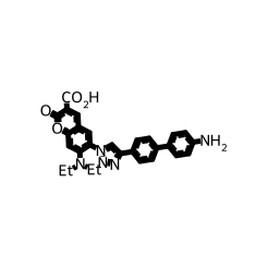 CCN(CC)c1cc2oc(=O)c(C(=O)O)cc2cc1-n1cc(-c2ccc(-c3ccc(N)cc3)cc2)nn1